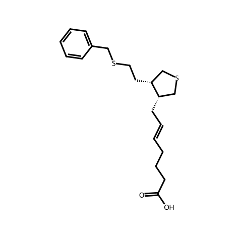 O=C(O)CCCC=CC[C@H]1CSC[C@H]1CCSCc1ccccc1